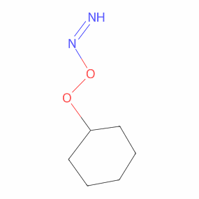 N=NOOC1CCCCC1